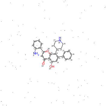 Nc1ccccc1-c1cc(=O)c2c(O)cc(-c3ccccc3)c(C3CCNCC3)c2o1